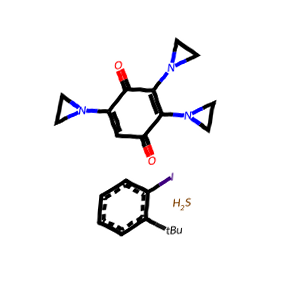 CC(C)(C)c1ccccc1I.O=C1C=C(N2CC2)C(=O)C(N2CC2)=C1N1CC1.S